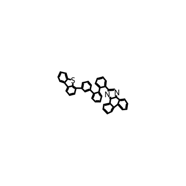 c1cc(-c2ccccc2-c2ccccc2-c2cnc3c4ccccc4c4ccccc4c3n2)cc(-c2cccc3c2sc2ccccc23)c1